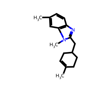 CC1=CCC(Cc2nc3ccc(C)cc3n2C)CC1